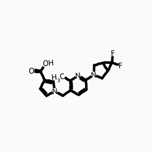 Cc1nc(N2CC3C(C2)C3(F)F)ccc1Cn1ccc(C(=O)O)c1